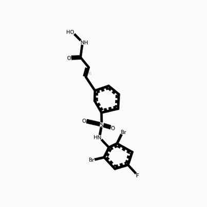 O=C(/C=C/c1cccc(S(=O)(=O)Nc2c(Br)cc(F)cc2Br)c1)NO